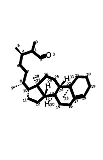 CC(C=O)[C@H](C)CC[C@@H](C)[C@H]1CC[C@H]2[C@@H]3CCC4=CCCC[C@]4(C)[C@H]3CC[C@]12C